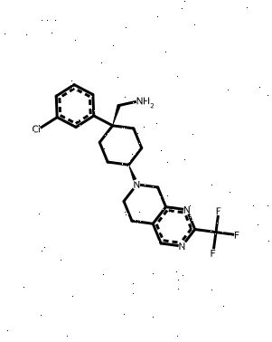 NC[C@]1(c2cccc(Cl)c2)CC[C@H](N2CCc3cnc(C(F)(F)F)nc3C2)CC1